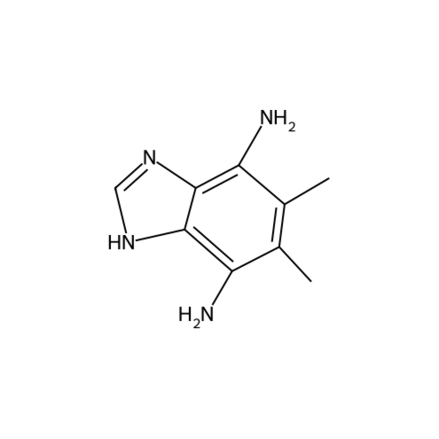 Cc1c(C)c(N)c2[nH]cnc2c1N